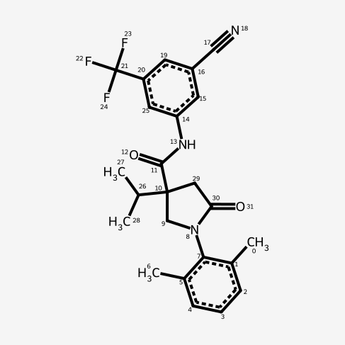 Cc1cccc(C)c1N1CC(C(=O)Nc2cc(C#N)cc(C(F)(F)F)c2)(C(C)C)CC1=O